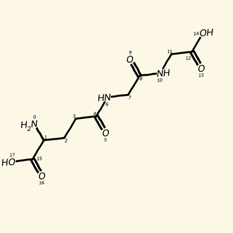 NC(CCC(=O)NCC(=O)NCC(=O)O)C(=O)O